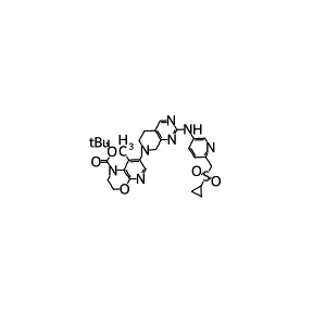 Cc1c(N2CCc3cnc(Nc4ccc(CS(=O)(=O)C5CC5)nc4)nc3C2)cnc2c1N(C(=O)OC(C)(C)C)CCO2